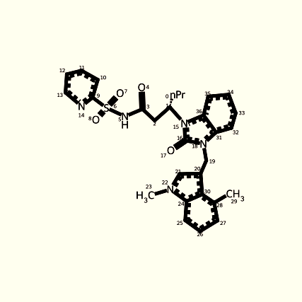 CCC[C@@H](CC(=O)NS(=O)(=O)c1ccccn1)n1c(=O)n(Cc2cn(C)c3cccc(C)c23)c2ccccc21